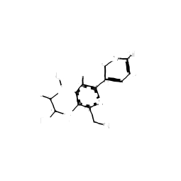 CCOC(C)C(CC)Oc1cc(CC)c(C2=CC=C(C(C)C)NC2)nc1CN